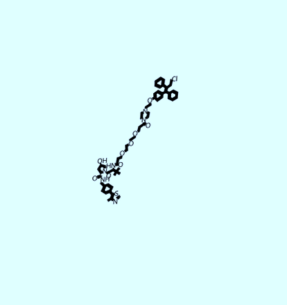 Cc1ncsc1-c1ccc(CNC(=O)[C@@H]2C[C@@H](O)CN2C(=O)[C@@H](NC(=O)CCOCCOCCOCCC(=O)N2CCN(CCOc3ccc(/C(=C(/CCCl)c4ccccc4)c4ccccc4)cc3)CC2)C(C)(C)C)cc1